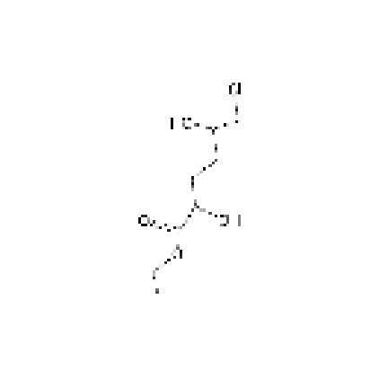 CCOC(=O)C(O)CCC(O)CCl